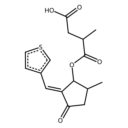 CC(CC(=O)O)C(=O)OC1C(=Cc2ccsc2)C(=O)CC1C